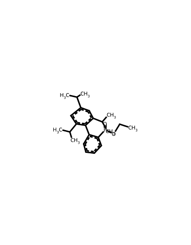 CCO[PH](=O)c1ccccc1-c1c(C(C)C)cc(C(C)C)cc1C(C)C